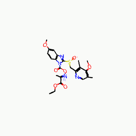 CCOC(=O)/C(C)=N/OC(=O)n1c([S+]([O-])Cc2ncc(C)c(OC)c2C)nc2cc(OC)ccc21